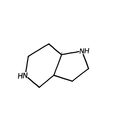 C1C[C]2NCCC2CN1